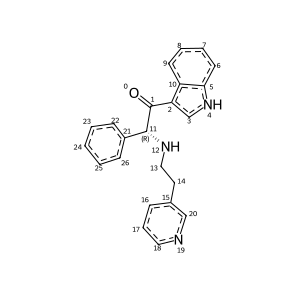 O=C(c1c[nH]c2ccccc12)[C@H](NCCc1cccnc1)c1ccccc1